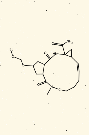 CCOCOC1CC2C(=O)NC3(C(N)=O)CC3C=CCCCCN(C)C(=O)C2C1